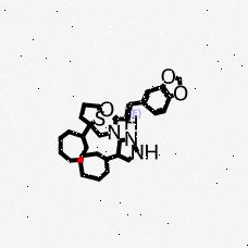 O=C(/C=C/c1ccc2c(c1)OCO2)N(CC1(C2CCCCCC2)CCCS1)C1NNCC1C1CCCCCC1